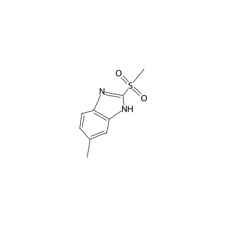 Cc1ccc2nc(S(C)(=O)=O)[nH]c2c1